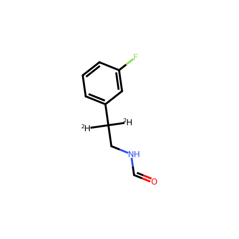 [2H]C([2H])(CNC=O)c1cccc(F)c1